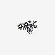 CCC(=O)/N=C(/NC(=O)OC(C)CC)Nc1cc(C(=O)c2ccccc2)ccc1NC(C)=O